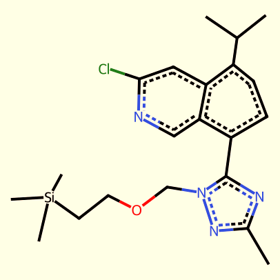 Cc1nc(-c2ccc(C(C)C)c3cc(Cl)ncc23)n(COCC[Si](C)(C)C)n1